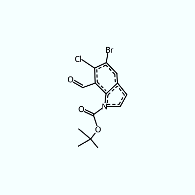 CC(C)(C)OC(=O)n1ccc2cc(Br)c(Cl)c(C=O)c21